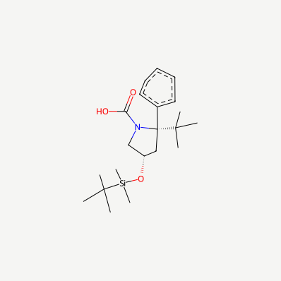 CC(C)(C)[C@]1(c2ccccc2)C[C@H](O[Si](C)(C)C(C)(C)C)CN1C(=O)O